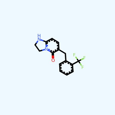 O=c1c(Cc2ccccc2C(F)(F)F)ccc2n1CCN2